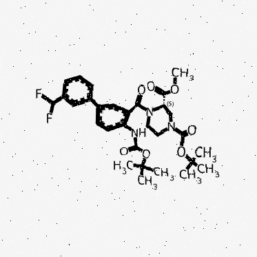 COC(=O)[C@@H]1CN(C(=O)OC(C)(C)C)CCN1C(=O)c1cc(-c2cccc(C(F)F)c2)ccc1NC(=O)OC(C)(C)C